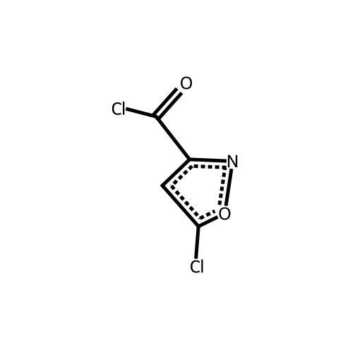 O=C(Cl)c1cc(Cl)on1